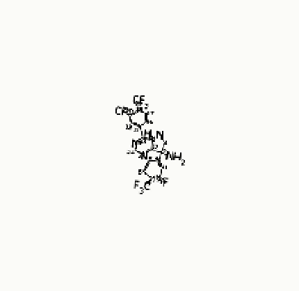 NCC(N)(c1ccc(C(F)(F)F)c(F)c1)c1cc(-c2ccc(C(F)(F)F)c(Cl)c2)ncn1